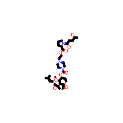 CO[C@H]1[C@H](C2(C)O[C@@H]2CC=C(C)C)[C@]2(CC[C@H]1OC(=O)N1CCN(CCOC(=O)C3CCCN3C(=O)CCC(C)=O)CC1)CO2